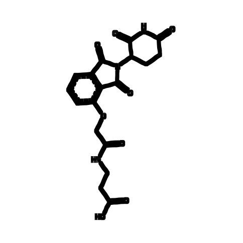 O=C(O)CCNC(=O)COc1cccc2c1C(=O)N(C1CCC(=O)NC1=O)C2=O